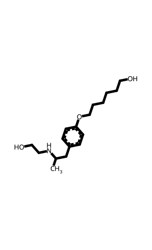 CC(Cc1ccc(OCCCCCCO)cc1)NCCO